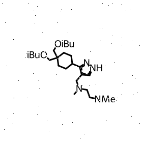 CNCCN(C)Cc1c[nH]nc1C1CCC(COCC(C)C)(COCC(C)C)CC1